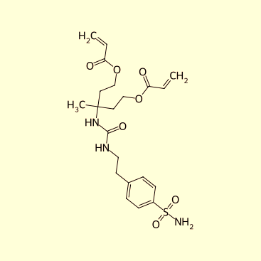 C=CC(=O)OCCC(C)(CCOC(=O)C=C)NC(=O)NCCc1ccc(S(N)(=O)=O)cc1